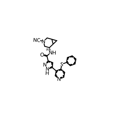 N#CN1CC2CC2[C@@H](NC(=O)c2cc(-c3cnccc3Sc3ccccc3)[nH]n2)C1